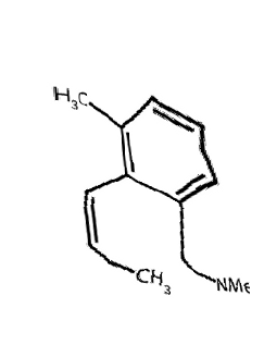 C/C=C\c1c(C)cccc1CNC